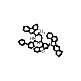 CC1CC/C(c2cc(-n3c4cc5ccccc5cc4c4ccc5ccccc5c43)cc3oc4ccccc4c23)=N\C(c2cccc(-c3ccccc3)c2)NC1c1cc2ccccc2c2ccccc12